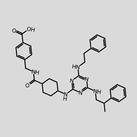 CC(CNc1nc(NCCc2ccccc2)nc(NC2CCC(C(=O)NCc3ccc(C(=O)O)cc3)CC2)n1)c1ccccc1